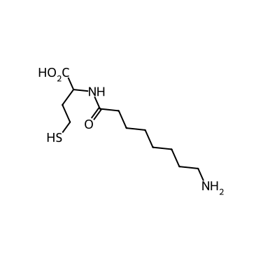 NCCCCCCCC(=O)NC(CCS)C(=O)O